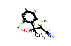 CC(O)(c1ccccc1F)C(F)C#N